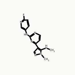 CNc1c(-c2ccnc(Nc3ccc(F)nc3)n2)cnn1C